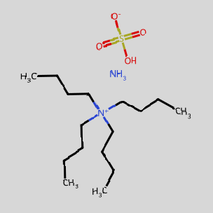 CCCC[N+](CCCC)(CCCC)CCCC.N.O=S(=O)([O-])O